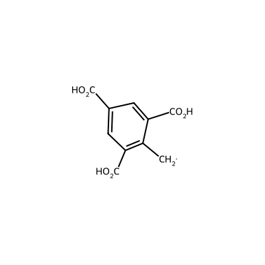 [CH2]c1c(C(=O)O)cc(C(=O)O)cc1C(=O)O